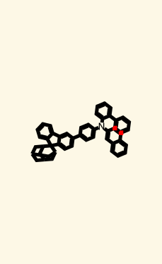 c1ccc(-c2ccccc2N(c2ccc(-c3ccc4c(c3)-c3ccccc3C43C4CC5CC(C4)CC3C5)cc2)c2ccc3ccccc3c2)cc1